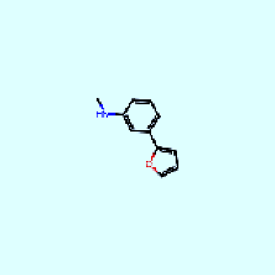 CNc1cccc(-c2ccco2)c1